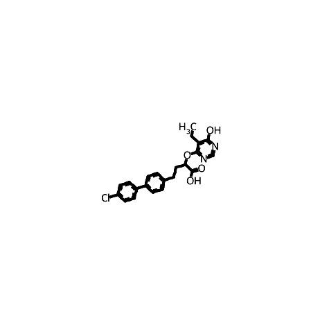 CCc1c(O)ncnc1OC(CCc1ccc(-c2ccc(Cl)cc2)cc1)C(=O)O